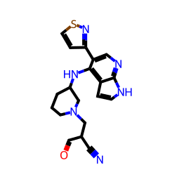 N#CC(C=O)CN1CCCC(Nc2c(-c3ccsn3)cnc3[nH]ccc23)C1